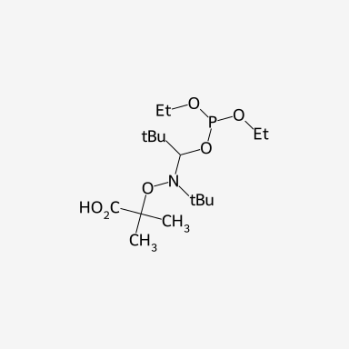 CCOP(OCC)OC(N(OC(C)(C)C(=O)O)C(C)(C)C)C(C)(C)C